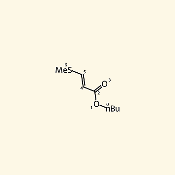 CCCCOC(=O)C=CSC